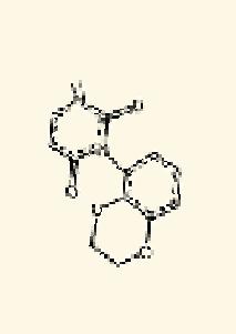 O=c1cc[nH]c(=O)n1-c1cccc2c1OCCO2